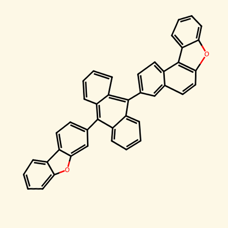 c1ccc2c(c1)oc1cc(-c3c4ccccc4c(-c4ccc5c(ccc6oc7ccccc7c65)c4)c4ccccc34)ccc12